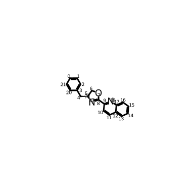 c1ccc(C[C@H]2COC(c3ccc4ccccc4n3)=N2)cc1